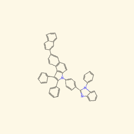 c1ccc(-c2c(-c3ccccc3)n(-c3ccc(-c4nc5ccccc5n4-c4ccccc4)cc3)c3ccc4cc(-c5ccc6ccccc6c5)ccc4c23)cc1